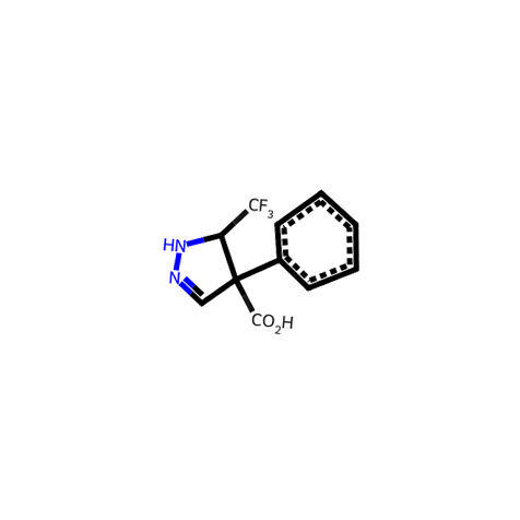 O=C(O)C1(c2ccccc2)C=NNC1C(F)(F)F